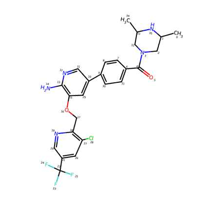 CC1CN(C(=O)c2ccc(-c3cnc(N)c(OCc4ncc(C(F)(F)F)cc4Cl)c3)cc2)CC(C)N1